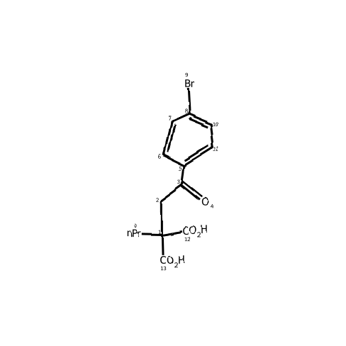 CCCC(CC(=O)c1ccc(Br)cc1)(C(=O)O)C(=O)O